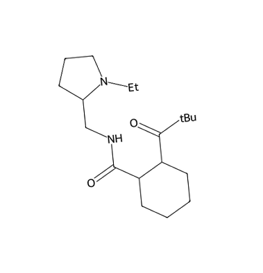 CCN1CCCC1CNC(=O)C1CCCCC1C(=O)C(C)(C)C